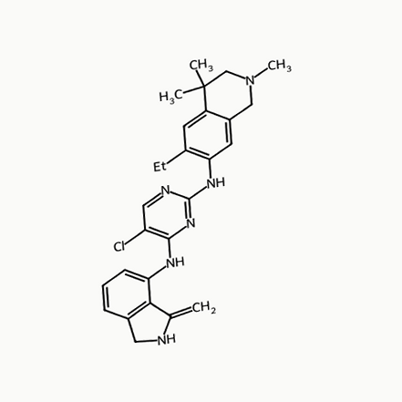 C=C1NCc2cccc(Nc3nc(Nc4cc5c(cc4CC)C(C)(C)CN(C)C5)ncc3Cl)c21